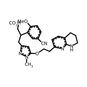 COc1ccc(C#N)cc1C(CC(=O)O)Cc1cc(OCCc2ccc3c(n2)NCCC3)n(C)n1